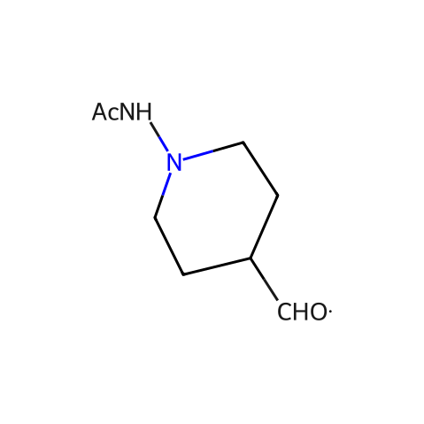 CC(=O)NN1CCC([C]=O)CC1